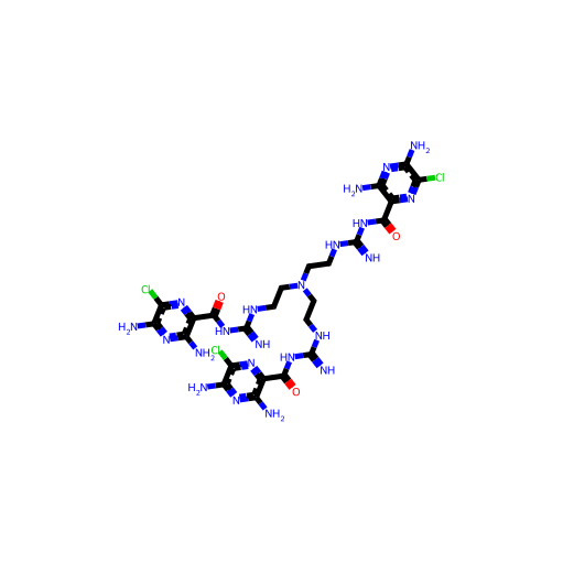 N=C(NCCN(CCNC(=N)NC(=O)c1nc(Cl)c(N)nc1N)CCNC(=N)NC(=O)c1nc(Cl)c(N)nc1N)NC(=O)c1nc(Cl)c(N)nc1N